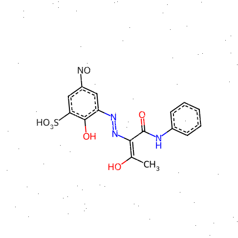 C/C(O)=C(/N=N/c1cc(N=O)cc(S(=O)(=O)O)c1O)C(=O)Nc1ccccc1